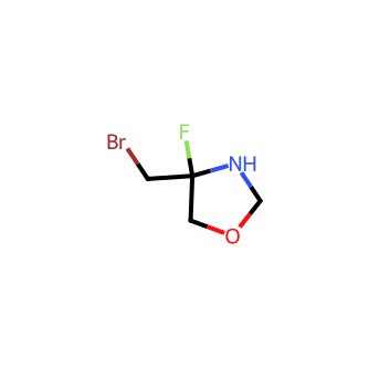 FC1(CBr)COCN1